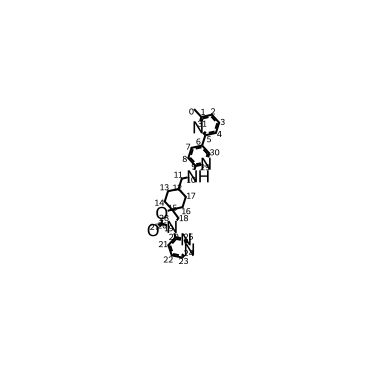 Cc1cccc(-c2ccc(NCC3CCC4(CC3)CN(c3cccnn3)C(=O)O4)nc2)n1